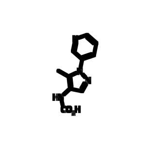 Cc1c(NC(=O)O)cnn1-c1cccnc1